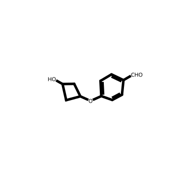 O=Cc1ccc(OC2CC(O)C2)cc1